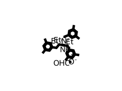 CCC(Cc1cc(C)cc(C)c1)C(N)(Cc1cc(C)cc(C)c1)[N+](CC)(CC)Cc1cc(C)cc(C)c1.O=C[O-]